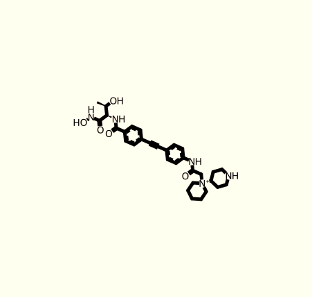 C[C@@H](O)[C@H](NC(=O)c1ccc(C#Cc2ccc(NC(=O)C[N+]3(C4CCNCC4)CCCCC3)cc2)cc1)C(=O)NO